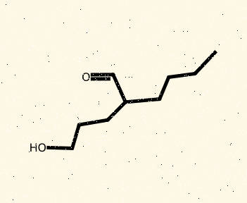 CCCCC(C=O)CCCO